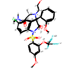 COc1ccc(S(=O)(=O)N2C(=O)C(c3ccccc3OC)(N(CCO)[C@@H](C)C(=O)N(C)C)c3cc(Cl)ccc32)c(OC(F)(F)F)c1